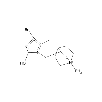 B[N+]12CCC(CC1)C(Cn1c(O)nc(Br)c1C)C2